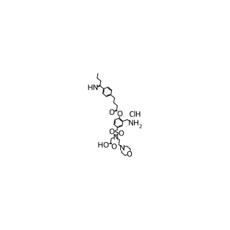 CCCC(=N)c1ccc(CCCC(=O)Oc2ccc(S(=O)(=O)N(CCN3CCOCC3)CC(=O)O)cc2CN)cc1.Cl